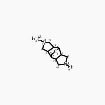 CCN1CC2C3CCC(C4CN(C)CC34)C2C1